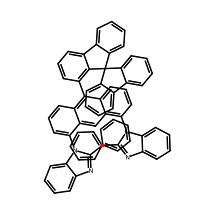 c1ccc(-c2nc3ccccc3n2-c2cccc3c(-c4cccc5c4C4(c6ccccc6-c6ccccc64)c4ccccc4-5)c4cccc(-n5c(-c6ccccc6)nc6ccccc65)c4cc23)cc1